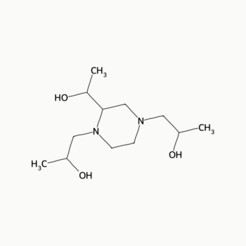 CC(O)CN1CCN(CC(C)O)C(C(C)O)C1